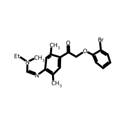 CCN(C)/C=N\c1cc(C)c(C(=O)COc2ccccc2Br)cc1C